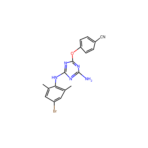 Cc1cc(Br)cc(C)c1Nc1nc(N)nc(Oc2ccc(C#N)cc2)n1